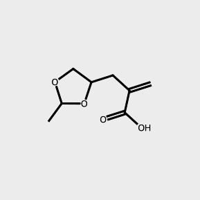 C=C(CC1COC(C)O1)C(=O)O